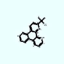 CCC(C)(C)c1ccc2c3ccccc3c3cccnc3c2n1